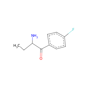 CCC(N)C(=O)c1ccc(F)cc1